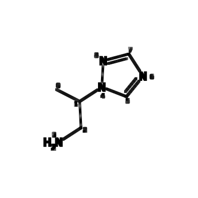 CC(CN)n1cncn1